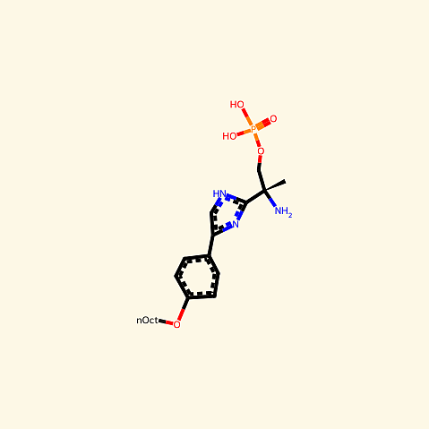 CCCCCCCCOc1ccc(-c2c[nH]c([C@@](C)(N)COP(=O)(O)O)n2)cc1